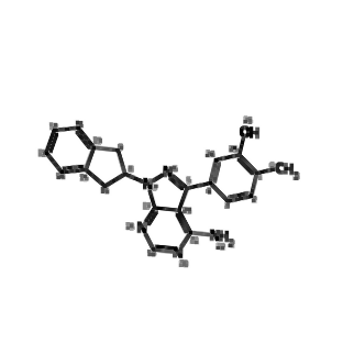 Cc1ccc(-c2nn(C3Cc4ccccc4C3)c3ncnc(N)c23)cc1O